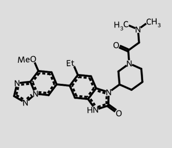 CCc1cc2c(cc1-c1cc(OC)c3ncnn3c1)[nH]c(=O)n2C1CCCN(C(=O)CN(C)C)C1